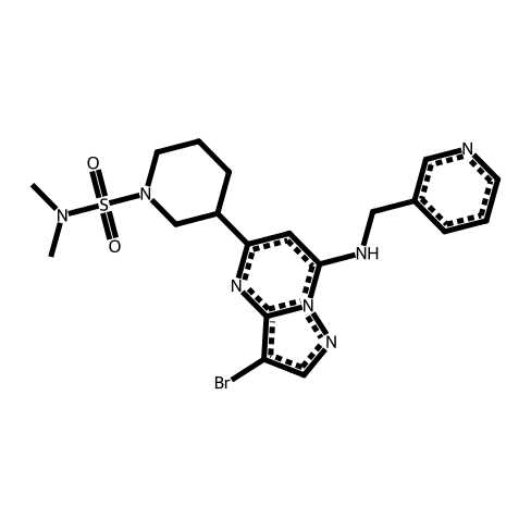 CN(C)S(=O)(=O)N1CCCC(c2cc(NCc3cccnc3)n3ncc(Br)c3n2)C1